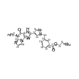 CCCn1c(=O)c2[nH]c(-c3cnn(Cc4cccc(C(=O)OCCC(C)(C)C)c4)c3)nc2n2ccnc12